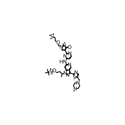 CC(CCO[Si](C)(C)C(C)(C)C)n1nc(-c2ncc(CN3CCN(C)CC3)s2)c2cnc(Nc3ccnc(-c4cn(COCC[Si](C)(C)C)n(C)c4=O)n3)cc21